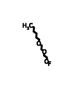 CCCCCCOCCOCCOF